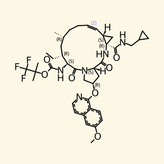 CC[C@@H]1C[C@H](C)CC/C=C\[C@@H]2C[C@@]2(C(=O)NCC2CC2)NC(=O)[C@@H]2C[C@@H](Oc3nccc4cc(OC)ccc34)CN2C(=O)[C@H]1NC(=O)OC(C)(C)C(F)(F)F